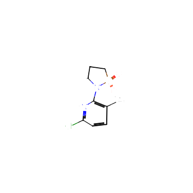 CC(=O)c1ccc(Cl)nc1N1CCCS1(=O)=O